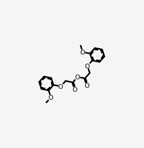 COc1ccccc1OCC(=O)OC(=O)COc1ccccc1OC